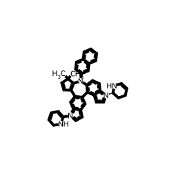 CC1(C)C=CC2=C1N(c1ccc3ccccc3c1)c1ccc3c(ccn3[C@H]3CCC=CN3)c1-c1cc3ccn(C4=CC=CCN4)c3cc12